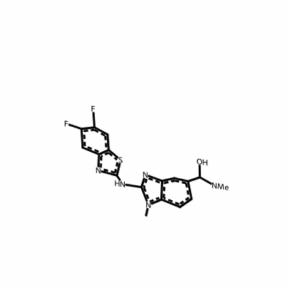 CNC(O)c1ccc2c(c1)nc(Nc1nc3cc(F)c(F)cc3s1)n2C